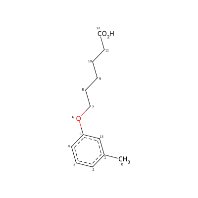 Cc1cccc(OCCCCCC(=O)O)c1